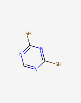 Sc1n[c]nc(S)n1